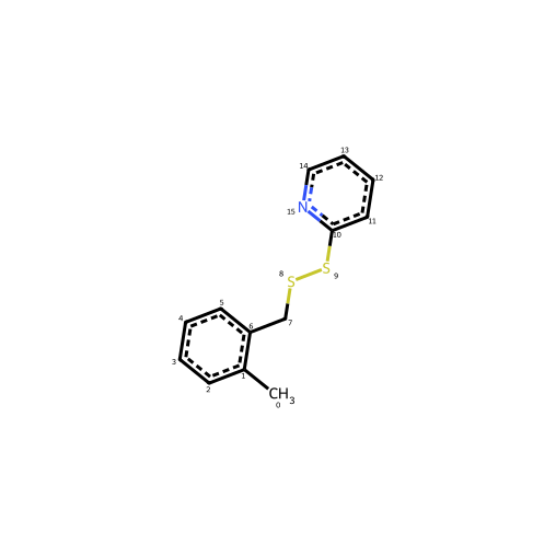 Cc1ccccc1CSSc1ccccn1